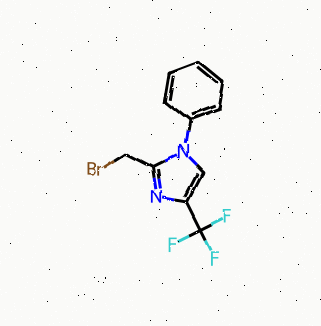 FC(F)(F)c1cn(-c2ccccc2)c(CBr)n1